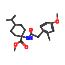 COC(=O)C1(NC(=O)Cc2ccc(OC)cc2C)CCC(C(C)C)CC1